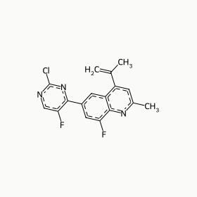 C=C(C)c1cc(C)nc2c(F)cc(-c3nc(Cl)ncc3F)cc12